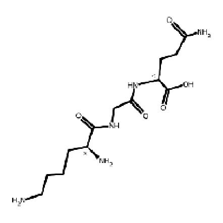 NCCCC[C@H](N)C(=O)NCC(=O)N[C@@H](CCC(N)=O)C(=O)O